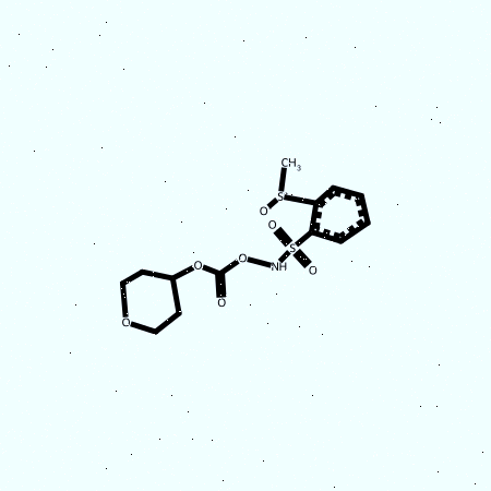 C[S+]([O-])c1ccccc1S(=O)(=O)NOC(=O)OC1CCOCC1